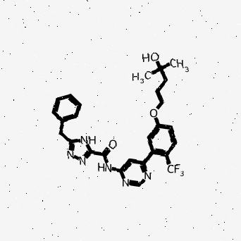 CC(C)(O)CCCOc1ccc(C(F)(F)F)c(-c2cc(NC(=O)c3nnc(Cc4ccccc4)[nH]3)ncn2)c1